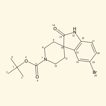 CC(C)(C)OC(=O)N1CCC2(CC1)C(=O)Nc1ccc(Br)cc12